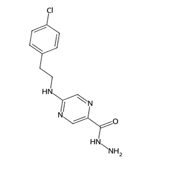 NNC(=O)c1cnc(NCCc2ccc(Cl)cc2)cn1